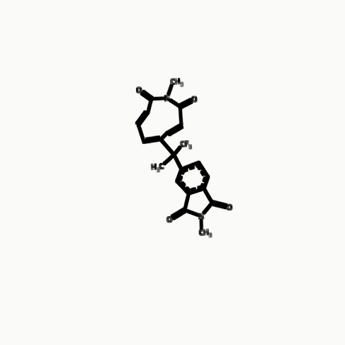 CN1C(=O)/C=C/C=C(C(C)(c2ccc3c(c2)C(=O)N(C)C3=O)C(F)(F)F)\C=C\C1=O